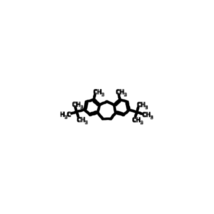 Cc1cc(C(C)(C)C)cc2c1Cc1c(C)cc(C(C)(C)C)cc1CC2